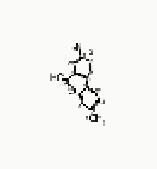 Cc1ccc(-c2ccc(N)cc2C(=O)O)cc1